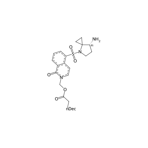 CCCCCCCCCCCC(=O)OCn1ccc2c(S(=O)(=O)N3CC[C@@H](N)C34CC4)cccc2c1=O